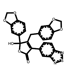 O=C1OC(O)(c2ccc3c(c2)OCO3)C(Cc2ccc3c(c2)OCO3)=C1c1ccc2nsnc2c1